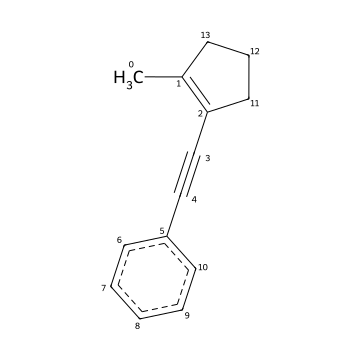 CC1=C(C#Cc2ccccc2)CCC1